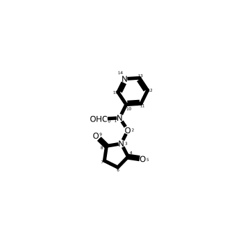 O=CN(ON1C(=O)CCC1=O)c1cccnc1